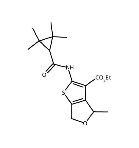 CCOC(=O)c1c(NC(=O)C2C(C)(C)C2(C)C)sc2c1C(C)OC2